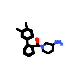 Cc1ccc(-c2ccccc2C(=O)N2CCCC(N)C2)cc1C